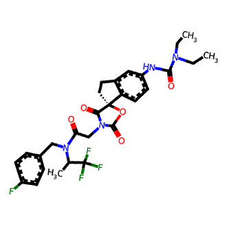 CCN(CC)C(=O)Nc1ccc2c(c1)CC[C@@]21OC(=O)N(CC(=O)N(Cc2ccc(F)cc2)C(C)C(F)(F)F)C1=O